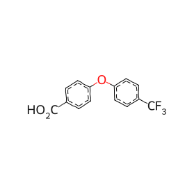 O=C(O)c1ccc(Oc2ccc(C(F)(F)F)cc2)cc1